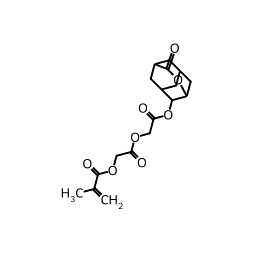 C=C(C)C(=O)OCC(=O)OCC(=O)OC1C2CC3CC(C2)C(=O)OC1C3